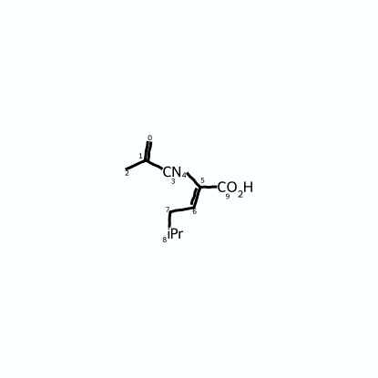 C=C(C)C#N.CC(=CCC(C)C)C(=O)O